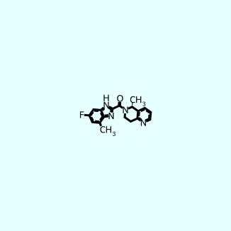 Cc1cc(F)cc2[nH]c(C(=O)N3CCc4ncccc4[C@H]3C)nc12